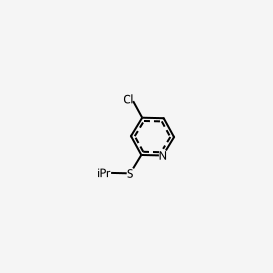 CC(C)Sc1cc(Cl)ccn1